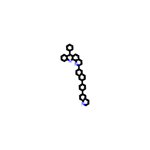 c1ccc(-c2c3ccccc3nc3c2ccc2ccc(-c4ccc5cc(-c6ccc(-c7ccc8ncccc8c7)cc6)ccc5c4)nc23)cc1